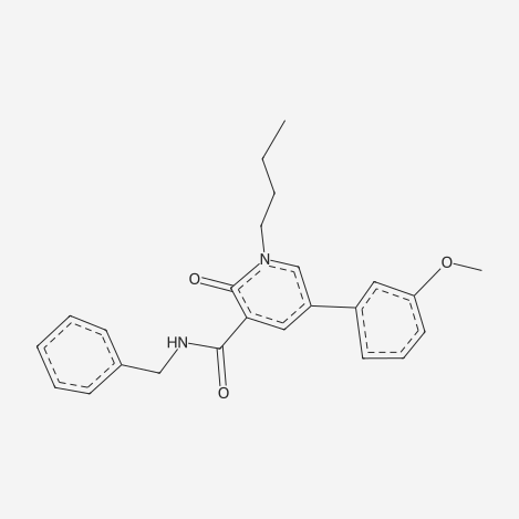 CCCCn1cc(-c2cccc(OC)c2)cc(C(=O)NCc2ccccc2)c1=O